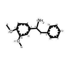 COc1ccc(C(N)Cc2ccccc2)cc1OC